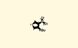 CCN(CC)c1cscc1C(C)(C)C